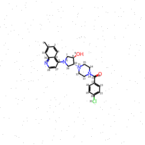 Cc1ccc2c(N3C[C@@H](O)[C@H](N4CCN(C(=O)c5ccc(Cl)cc5)CC4)C3)ccnc2c1